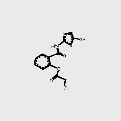 CC(C)CC(=O)Oc1ccccc1C(=O)Nc1ncc(S)s1